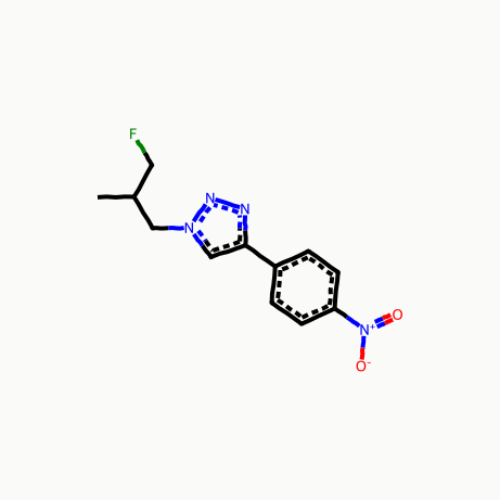 CC(CF)Cn1cc(-c2ccc([N+](=O)[O-])cc2)nn1